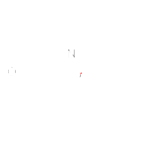 c1ccc(-c2ccc(N(c3ccc(-c4cccc5cccc(-c6ccccc6)c45)cc3)c3cccc4cc5oc6ccccc6c5cc34)cc2)cc1